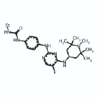 CCNC(=O)Nc1ccc(Nc2ncc(F)c(NC3CC(C)(C)N(C)C(C)(C)C3)n2)cc1